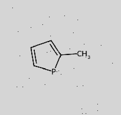 CC1=CC=C[P]1